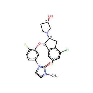 Cn1ccn(-c2ccc(F)c(O[C@H]3c4cc(F)cc(Cl)c4C[C@@H]3N3CC[C@@H](O)C3)c2)c1=O